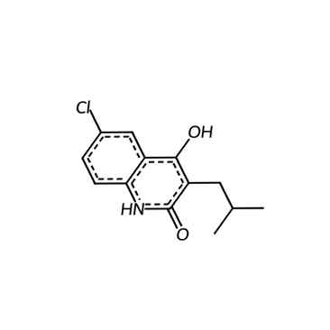 CC(C)Cc1c(O)c2cc(Cl)ccc2[nH]c1=O